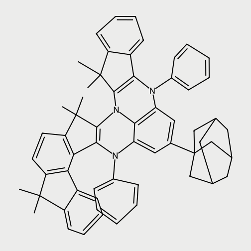 CC1(C)C2=C(c3ccccc31)N(c1ccccc1)c1cc(C34CC5CC(CC(C5)C3)C4)cc3c1N2C1=C(c2c(ccc4c2-c2ccccc2C4(C)C)C1(C)C)N3c1ccccc1